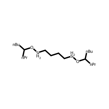 CCCCC(CCC)O[SiH2]CCCC[SiH2]OC(CCC)CCCC